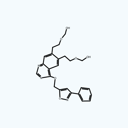 OCOCCc1cc2ncnc(OCc3cc(-c4ccccc4)no3)c2cc1CCOCO